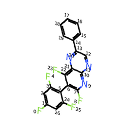 Fc1cc(F)c(-c2c(F)nc3ncc(-c4ccccc4)nc3c2F)c(F)c1